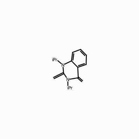 C=C1c2ccccc2N(C(C)C)C(=C)N1C(C)C